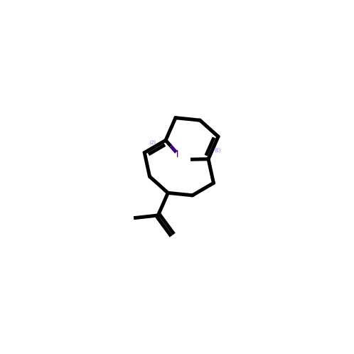 C=C(C)C1C/C=C(\I)CC/C=C(\C)CC1